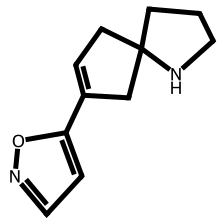 C1=C(c2ccno2)CC2(C1)CCCN2